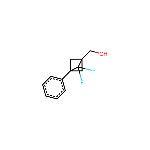 OCC12CC(c3ccccc3)(C1)C2(F)F